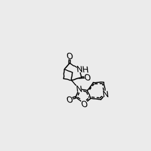 O=C1NC(=O)C2(n3c(=O)oc4cnccc43)CC1C2